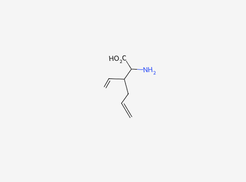 C=CCC(C=C)C(N)C(=O)O